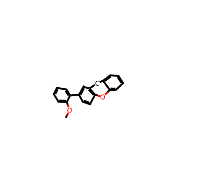 COc1ccccc1-c1[c]c2c(cc1)Oc1ccccc1C2